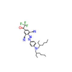 CCCCC(CC)CN(CC(CC)CCCC)c1ccc(N=Nc2c(C#N)cc(C(=O)C(F)(F)F)cc2C#N)cc1